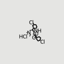 CCN(C)Cc1c(CS(=O)(=O)c2ccc(Cl)cc2)[nH]c2ccc(Cl)cc12.Cl